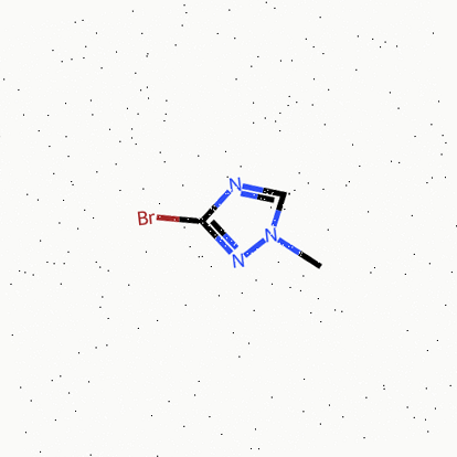 Cn1[c]nc(Br)n1